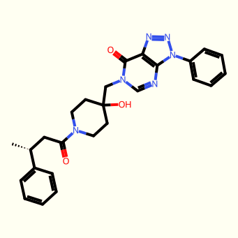 C[C@H](CC(=O)N1CCC(O)(Cn2cnc3c(nnn3-c3ccccc3)c2=O)CC1)c1ccccc1